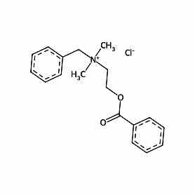 C[N+](C)(CCOC(=O)c1ccccc1)Cc1ccccc1.[Cl-]